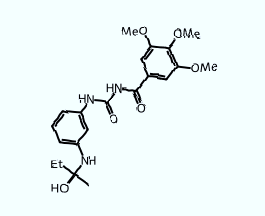 CCC(C)(O)Nc1cccc(NC(=O)NC(=O)c2cc(OC)c(OC)c(OC)c2)c1